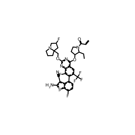 C=CC(=O)N1CCC(Oc2nc(OCC34CCCN3CC(F)C4)nc3c(F)c(-c4ccc(F)c5sc(N)c(C#N)c45)c(C(F)(F)F)cc23)C1CC